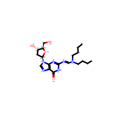 CCCCN(C=Nc1nc2c(ncn2[C@H]2C[C@H](O)[C@@H](CO)O2)c(=O)[nH]1)CCCC